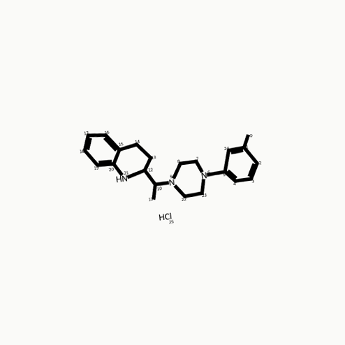 Cc1cccc(N2CCN(C(C)C3CCc4ccccc4N3)CC2)c1.Cl